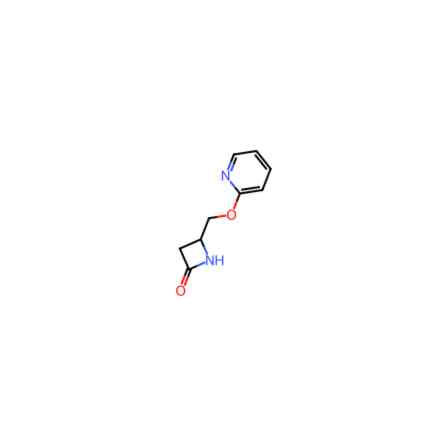 O=C1CC(COc2ccccn2)N1